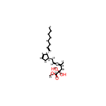 CCCCCCC=C[C@H]1C=CC[C@@H]1CC=C=C(C)CC(O)(O)C(=O)OC